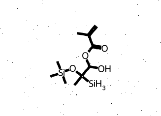 C=C(C)C(=O)OC(O)C(C)([SiH3])O[Si](C)(C)C